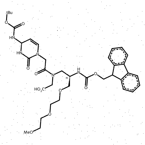 COCCOCCOC[C@@H](CN(CC(=O)O)C(=O)CN1C=CC(NC(=O)OC(C)(C)C)NC1=O)NC(=O)OCC1c2ccccc2-c2ccccc21